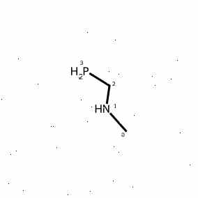 CNCP